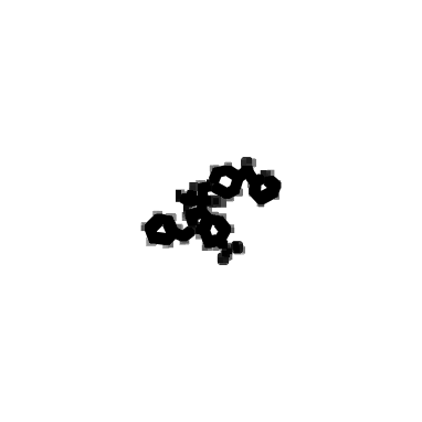 O=C(c1ccccn1)C1CCN(CC(O)(c2cn(Cc3ccccc3)c3cc([N+](=O)[O-])ccc23)C(F)(F)F)CC1